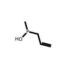 C=CCP(C)O